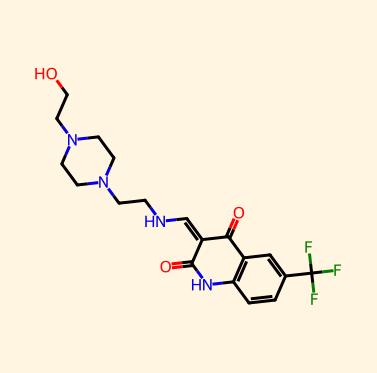 O=C1Nc2ccc(C(F)(F)F)cc2C(=O)/C1=C/NCCN1CCN(CCO)CC1